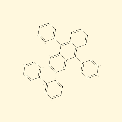 c1ccc(-c2c3ccccc3c(-c3ccccc3)c3ccccc23)cc1.c1ccc(-c2ccccc2)cc1